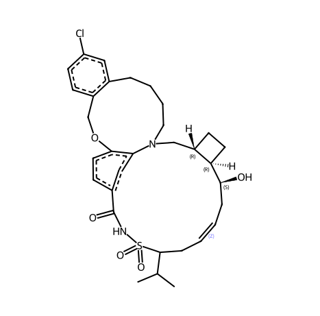 CC(C)C1C/C=C\C[C@H](O)[C@@H]2CC[C@H]2CN2CCCCc3cc(Cl)ccc3COc3ccc(cc32)C(=O)NS1(=O)=O